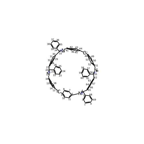 c1ccc(/C2=N/c3ccc(cc3)Cc3ccc(cc3)/N=C(\c3ccccc3)c3ccc(cc3)/C(c3ccccc3)=N\c3ccc(cc3)Cc3ccc(cc3)/N=C(\c3ccccc3)c3ccc2cc3)cc1